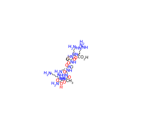 CC(NC(=O)[C@H](NC(=O)[C@@H](N)CCCCN)[C@@H](O)CN)C(=O)NCC(=O)N[C@H](CCCN)C(=O)N1CCC[C@H]1C(=O)NC(C(=O)N[C@@H](CCCCN)C(=O)N/C(=C\CCNC(=N)N)C(=O)O)c1cccs1